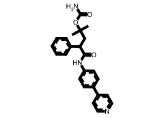 CC(C)(CC(C(=O)Nc1ccc(-c2ccncc2)cc1)c1ccccc1)OC(N)=O